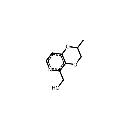 CC1COc2c(ccnc2CO)O1